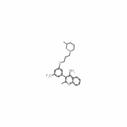 Cc1nc2ccccc2c(N)c1-c1cc(OCCCN2CCCC(C)C2)cc(C(F)(F)F)c1